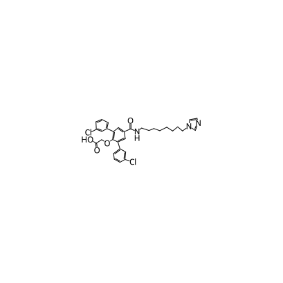 O=C(O)COc1c(-c2cccc(Cl)c2)cc(C(=O)NCCCCCCCCn2ccnc2)cc1-c1cccc(Cl)c1